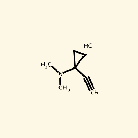 C#CC1(N(C)C)CC1.Cl